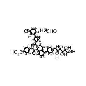 O=C(O)c1ccc(NC(=O)[C@@H]2c3cccc(C4=CCN(C[C@H](O)[C@@H](O)[C@H](O)[C@H](O)CO)CC4)c3CCN2C(=O)C2CC(c3cccc(Cl)c3F)=NO2)cc1.O=CO